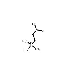 CCN(S)CC[PH](C)(C)C